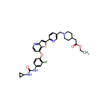 CCOC(=O)CC1CCN(Cc2ccc(-c3cc4nccc(Oc5ccc(NC(=O)NC6CC6)cc5F)c4s3)nc2)CC1